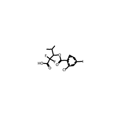 CC(C)C(OC(=O)c1ccc(I)cc1Cl)C(F)(F)C(=O)O